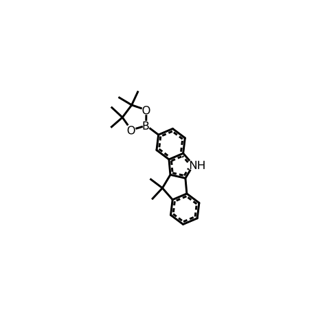 CC1(C)c2ccccc2-c2[nH]c3ccc(B4OC(C)(C)C(C)(C)O4)cc3c21